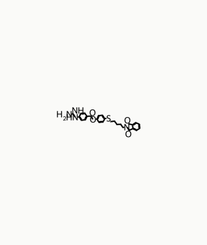 N=C(N)Nc1ccc(C(=O)Oc2ccc(SCCCCCN3C(=O)c4ccccc4C3=O)cc2)cc1